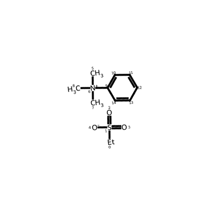 CCS(=O)(=O)[O-].C[N+](C)(C)c1ccccc1